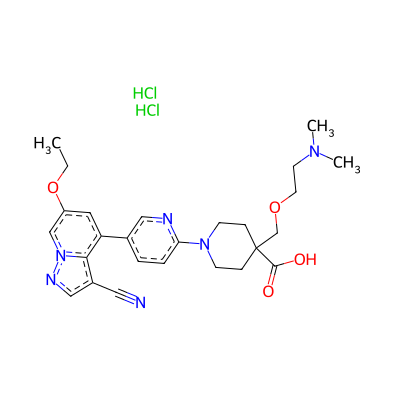 CCOc1cc(-c2ccc(N3CCC(COCCN(C)C)(C(=O)O)CC3)nc2)c2c(C#N)cnn2c1.Cl.Cl